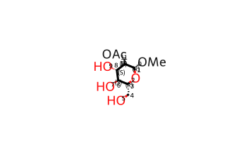 [CH2]O[C@@H]1O[C@H](CO)[C@@H](O)[C@H](O)[C@H]1OC(C)=O